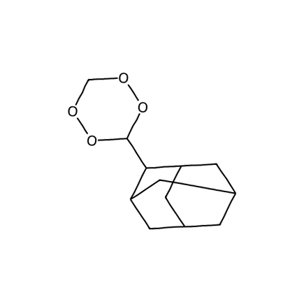 C1OOC(C2C3CC4CC(C3)CC2C4)OO1